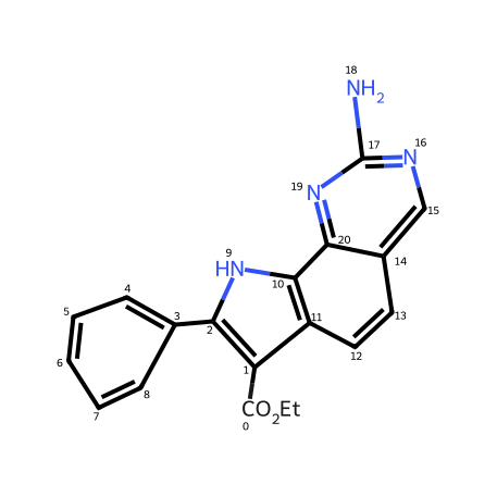 CCOC(=O)c1c(-c2ccccc2)[nH]c2c1ccc1cnc(N)nc12